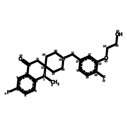 CN1c2ccc(F)cc2C(=O)CC12CCN(Cc1ccc(F)c(OCCO)c1)CC2